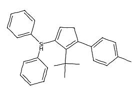 Cc1ccc(C2=C(C(C)(C)C)C([SiH](c3ccccc3)c3ccccc3)=CC2)cc1